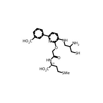 CSCC[C@H](NC(=O)COc1nc(-c2cccc(C(=O)O)c2)ccc1NCC(N)CS)C(=O)O